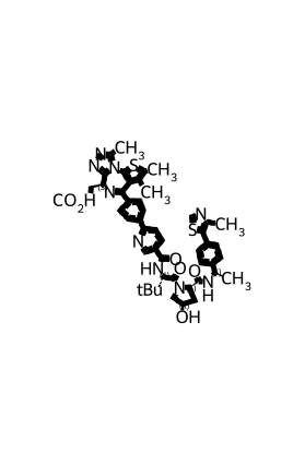 Cc1ncsc1-c1ccc([C@H](C)NC(=O)[C@@H]2C[C@@H](O)CN2C(=O)[C@@H](NC(=O)c2ccc(-c3ccc(C4=N[C@@H](CC(=O)O)c5nnc(C)n5-c5sc(C)c(C)c54)cc3)nc2)C(C)(C)C)cc1